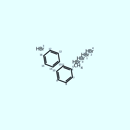 Br.Br.Br.Br.Br.C.c1ccccc1.c1ccccc1